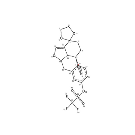 N#CC12CCC3(OCCO3)C3=COC(Cc4cc(OS(=O)(=O)C(F)(F)F)ccc41)C32